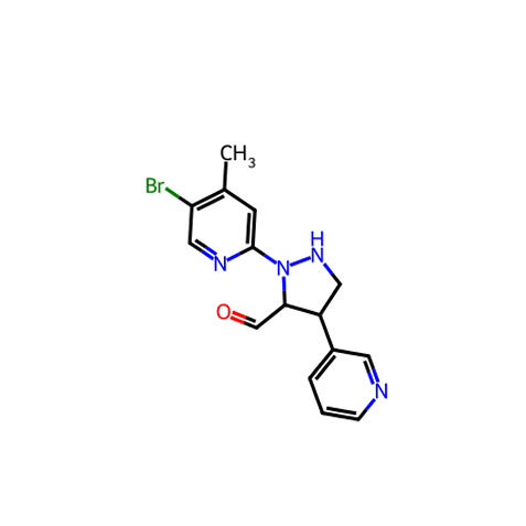 Cc1cc(N2NCC(c3cccnc3)C2C=O)ncc1Br